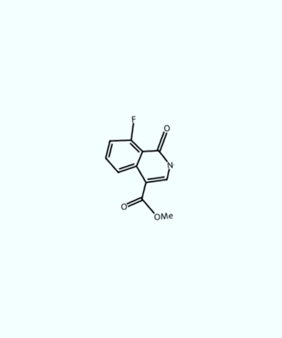 COC(=O)C1=C[N]C(=O)c2c(F)cccc21